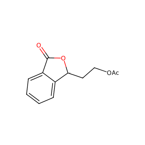 CC(=O)OCC[C]1OC(=O)c2ccccc21